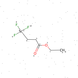 CCOC(=O)CC[Si](F)(F)F